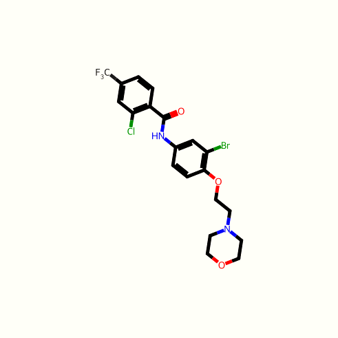 O=C(Nc1ccc(OCCN2CCOCC2)c(Br)c1)c1ccc(C(F)(F)F)cc1Cl